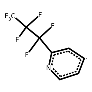 FC(F)(F)C(F)(F)C(F)(F)c1c[c]ccn1